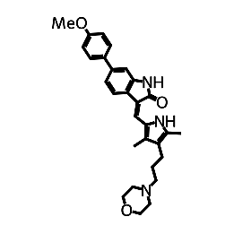 COc1ccc(-c2ccc3c(c2)NC(=O)/C3=C\c2[nH]c(C)c(CCCN3CCOCC3)c2C)cc1